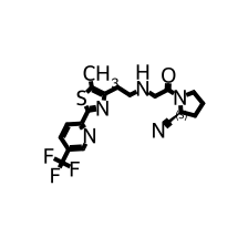 Cc1sc(-c2ccc(C(F)(F)F)cn2)nc1CCNCC(=O)N1CCC[C@H]1C#N